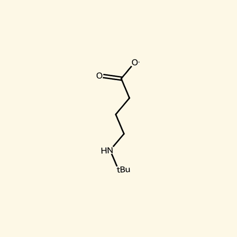 CC(C)(C)NCCCC([O])=O